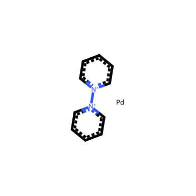 [Pd].c1cc[n+](-[n+]2ccccc2)cc1